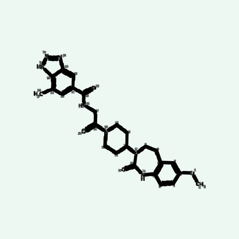 COc1ccc2c(c1)CCN(C1CCN(C(=O)CNC(=O)c3cc(C)c4[nH]nnc4c3)CC1)C(=O)N2